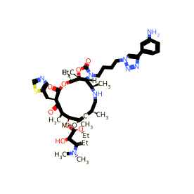 CCO[C@@H](O[C@@H]1[C@@H](C)C(=O)[C@@H](Cc2cncs2)C(=O)O[C@H](CC)[C@@]2(C)OC(=O)N(CCCCn3cc(-c4cccc(N)c4)nn3)[C@@H]2[C@@H](C)NC[C@H](C)C[C@@]1(C)OC)C(O)C(CC)N(C)C